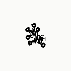 O=C1CCN(C[C@H](OCc2ccccc2)[C@H](OCc2ccccc2)[C@@H](COCc2ccccc2)OCc2ccccc2)c2nc(OCc3ccccc3)nc(OCc3ccccc3)c2N1